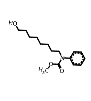 COC(=O)N(CCCCCCCCO)c1ccccc1